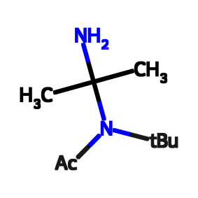 CC(=O)N(C(C)(C)C)C(C)(C)N